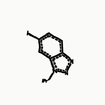 CC(C)n1nnc2ccc(I)cc21